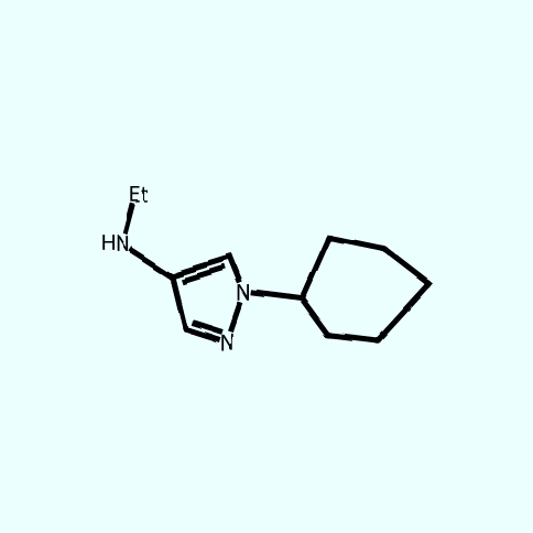 CCNc1cnn(C2CCCCC2)c1